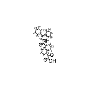 O=C(O)C(=O)c1cccc2c1CCCC2C(=O)NCC(c1ccccc1)c1ccccc1